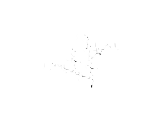 C#CCN(CCC(=O)NCCN(CCC(=O)NCCN)CCC(=O)NCCN)CCC(=O)NCN(CCC(=O)NCCN)CCC(=O)NCCN